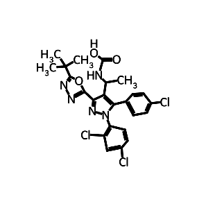 CC(NC(=O)O)c1c(-c2nnc(C(C)(C)C)o2)nn(-c2ccc(Cl)cc2Cl)c1-c1ccc(Cl)cc1